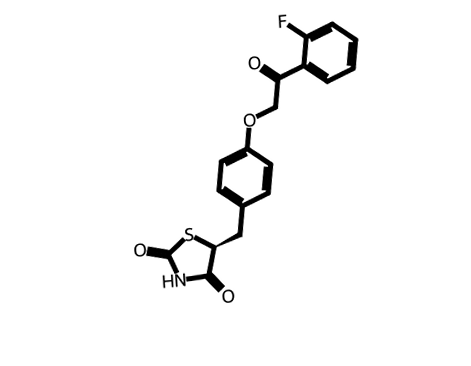 O=C1NC(=O)[C@H](Cc2ccc(OCC(=O)c3ccccc3F)cc2)S1